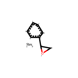 [SbH3].c1ccc(C2CO2)cc1